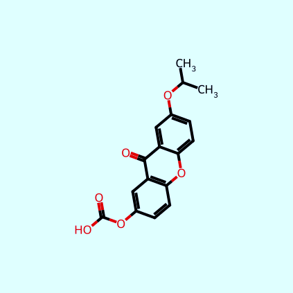 CC(C)Oc1ccc2oc3ccc(OC(=O)O)cc3c(=O)c2c1